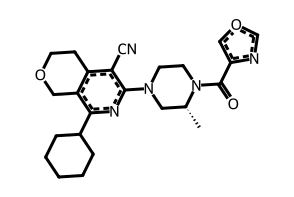 C[C@@H]1CN(c2nc(C3CCCCC3)c3c(c2C#N)CCOC3)CCN1C(=O)c1cocn1